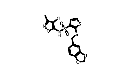 Cc1noc(NS(=O)(=O)c2ccsc2SCc2ccc3c(c2)OCO3)c1Cl